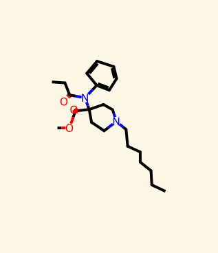 CCCCCCCN1CCC(C(=O)OC)(N(C(=O)CC)c2ccccc2)CC1